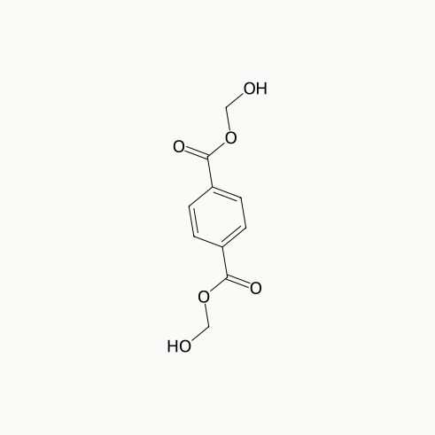 O=C(OCO)c1ccc(C(=O)OCO)cc1